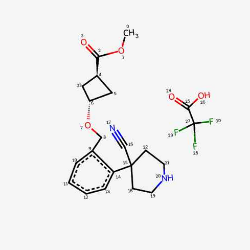 COC(=O)[C@H]1C[C@H](OCc2ccccc2C2(C#N)CCNCC2)C1.O=C(O)C(F)(F)F